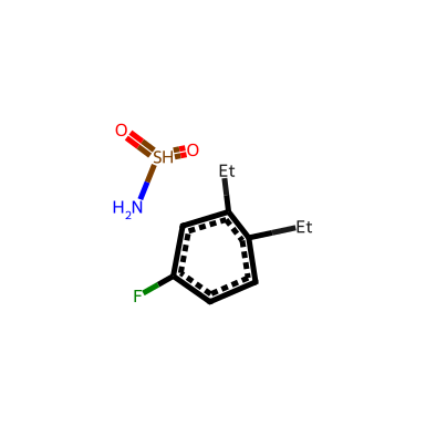 CCc1ccc(F)cc1CC.N[SH](=O)=O